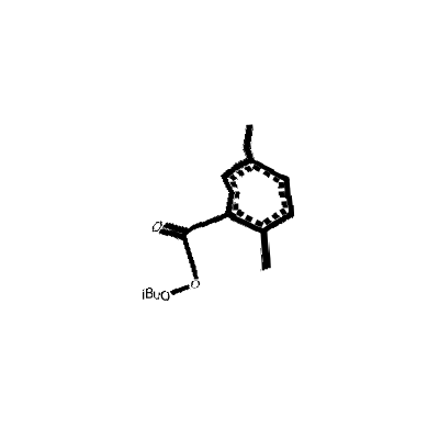 Cc1ccc(C)c(C(=O)OO[CH]C(C)C)c1